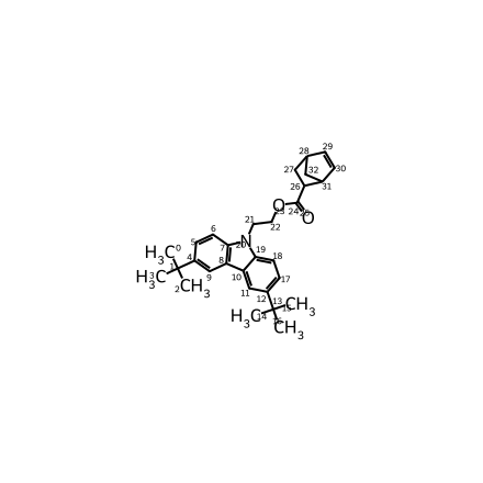 CC(C)(C)c1ccc2c(c1)c1cc(C(C)(C)C)ccc1n2CCOC(=O)C1CC2C=CC1C2